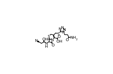 N#CCC(=O)NC1C(=O)N2C(C(=O)O)=C(CSc3nnnn3CCC(N)=O)CS[C@H]12